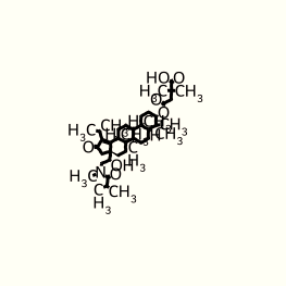 CC(C)C(=O)N(C)C[C@H](O)[C@@]12CC[C@]3(C)[C@H](CC[C@@H]4[C@@]5(C)CC[C@@H](OC(=O)CC(C)(C)C(=O)O)C(C)(C)[C@@H]5CC[C@]43C)C1=C(C(C)C)C(=O)C2